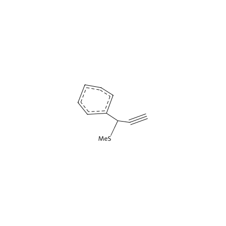 C#CC(SC)c1ccccc1